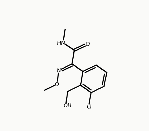 CNC(=O)/C(=N/OC)c1cccc(Cl)c1CO